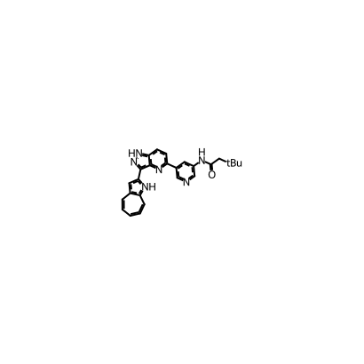 CC(C)(C)CC(=O)Nc1cncc(-c2ccc3[nH]nc(-c4cc5c([nH]4)C=C=CC=C5)c3n2)c1